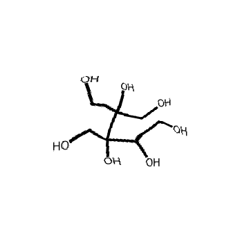 OCC(O)C(O)(CO)C(O)(CO)CO